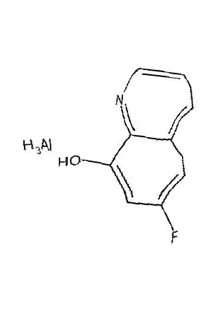 Oc1cc(F)cc2cccnc12.[AlH3]